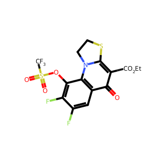 CCOC(=O)c1c2n(c3c(OS(=O)(=O)C(F)(F)F)c(F)c(F)cc3c1=O)CCS2